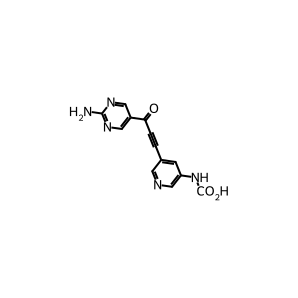 Nc1ncc(C(=O)C#Cc2cncc(NC(=O)O)c2)cn1